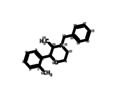 Cc1ccccc1C1OCCN(Cc2ccccc2)C1C